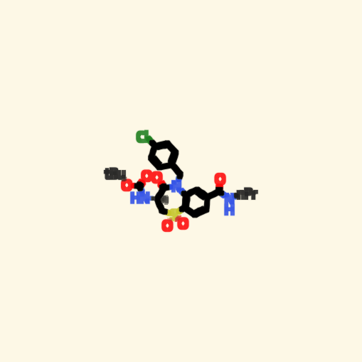 CCCNC(=O)c1ccc2c(c1)N(Cc1ccc(Cl)cc1)C(=O)[C@@H](NC(=O)OC(C)(C)C)CS2(=O)=O